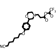 N#CCCCCCCOc1ccc(C2CN(CCC(=O)OC(=O)C(F)(F)F)CCO2)cc1